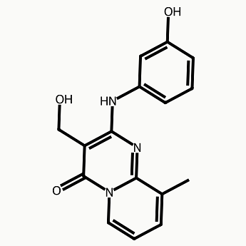 Cc1cccn2c(=O)c(CO)c(Nc3cccc(O)c3)nc12